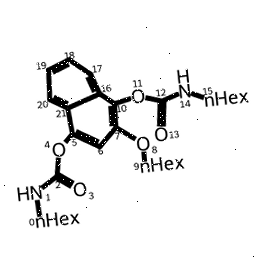 CCCCCCNC(=O)Oc1cc(OCCCCCC)c(OC(=O)NCCCCCC)c2ccccc12